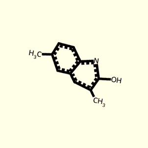 Cc1ccc2nc(O)c(C)cc2c1